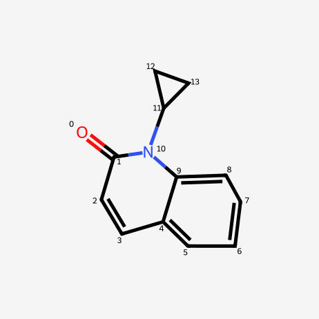 O=c1ccc2ccccc2n1C1CC1